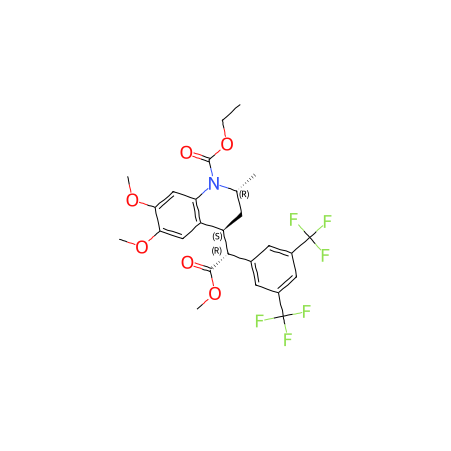 CCOC(=O)N1c2cc(OC)c(OC)cc2[C@H]([C@@H](C(=O)OC)c2cc(C(F)(F)F)cc(C(F)(F)F)c2)C[C@H]1C